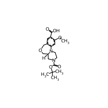 COc1cc2c(cc1C(=O)O)COC[C@H]1CN(C(=O)OC(C)(C)C)CCN21